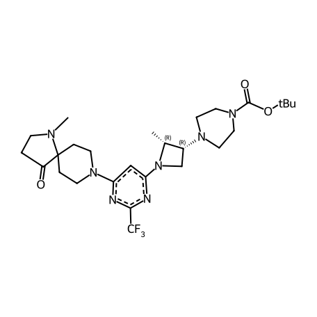 C[C@@H]1[C@H](N2CCN(C(=O)OC(C)(C)C)CC2)CN1c1cc(N2CCC3(CC2)C(=O)CCN3C)nc(C(F)(F)F)n1